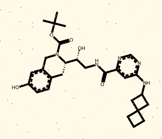 CC(C)(C)OC(=O)N1Cc2cc(O)ccc2C[C@H]1[C@H](O)CNC(=O)c1cc(NC2CC3(CCC3)C2)ncn1